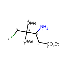 CCOC(=O)CC(N)C(CF)(OC)OC